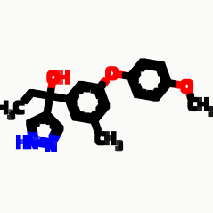 CCC(O)(c1cn[nH]c1)c1cc(C)cc(Oc2ccc(OC)cc2)c1